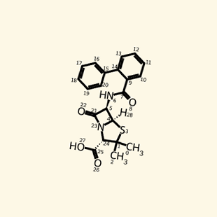 CC1(C)S[C@@H]2[C@H](NC(=O)c3ccccc3-c3ccccc3)C(=O)N2[C@H]1C(=O)O